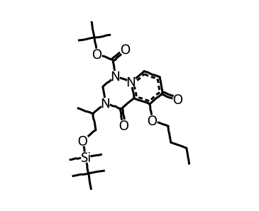 CCCCOc1c2n(ccc1=O)N(C(=O)OC(C)(C)C)CN(C(C)CO[Si](C)(C)C(C)(C)C)C2=O